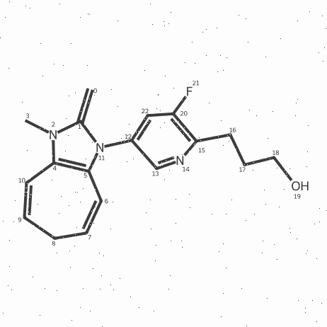 C=C1N(C)C2=C(C=CCC=C2)N1c1cnc(CCCO)c(F)c1